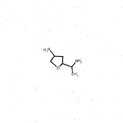 CC(N)C1CC(N)CO1